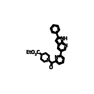 CCOC(=O)C1CCN(C(=O)c2cccc(-c3cnc4[nH]c(-c5ccccc5)cc4c3)n2)CC1